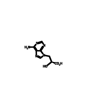 Nc1ncnc2c1ncn2C[C@H](O)C(=O)O